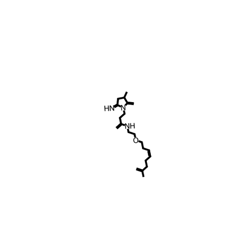 C=C(C)CC/C=C\CCOCCNC(=C)CCN1C(=C)C(C)CC1=N